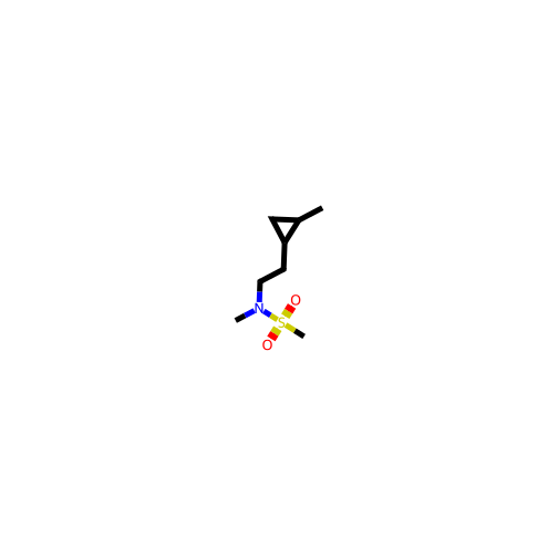 CC1CC1CCN(C)S(C)(=O)=O